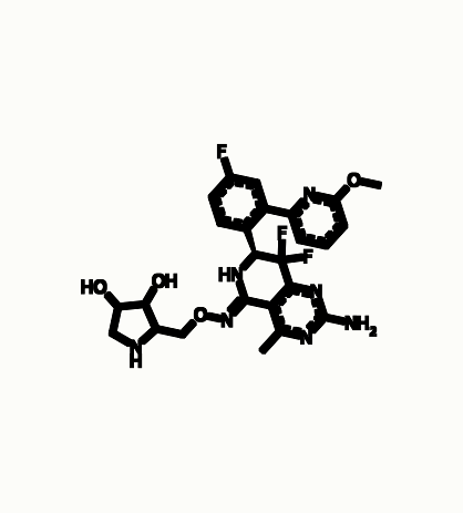 COc1cccc(-c2cc(F)ccc2[C@@H]2N/C(=N\OCC3NCC(O)C3O)c3c(C)nc(N)nc3C2(F)F)n1